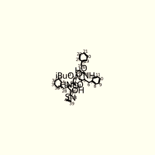 CC(C)COC(NC(=O)C(Cc1ccccc1)NC(=O)OCc1ccccc1)C(=O)N[C@@H](CC1CCCCC1)[C@@H](O)c1nccs1